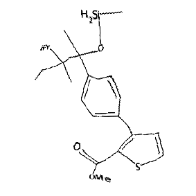 COC(=O)c1sccc1-c1ccc(C(C)(O[SiH2]C)C(C)(C)C(C)C)cc1